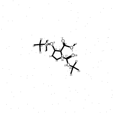 COC(=O)C1C(O[Si](C)(C)C(C)(C)C)CCN1C(=O)OC(C)(C)C